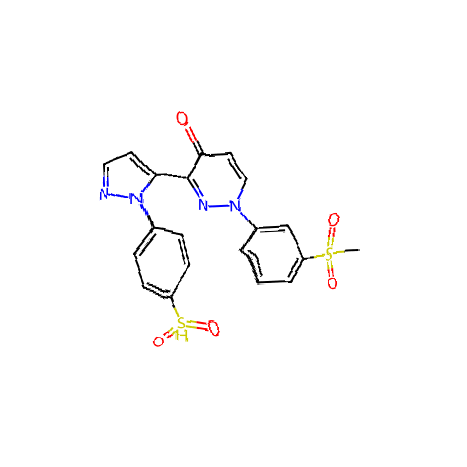 CS(=O)(=O)c1cccc(-n2ccc(=O)c(-c3ccnn3-c3ccc([SH](=O)=O)cc3)n2)c1